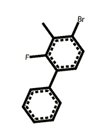 Cc1c(Br)ccc(-c2ccccc2)c1F